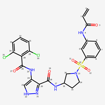 C=CC(=O)Nc1cccc(S(=O)(=O)N2CCC(NC(=O)c3n[nH]cc3NC(=O)c3c(Cl)cccc3Cl)C2)c1